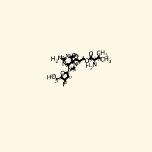 CC(C)[C@H](N)C(=O)OCCC(=O)C12N=CN([C@H]3CC(F)[C@@H](CO)O3)C1=NC(N)=NC2=O